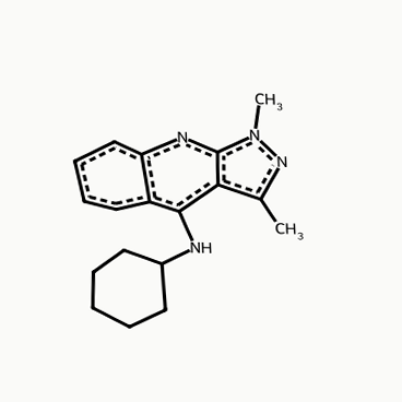 Cc1nn(C)c2nc3ccccc3c(NC3CCCCC3)c12